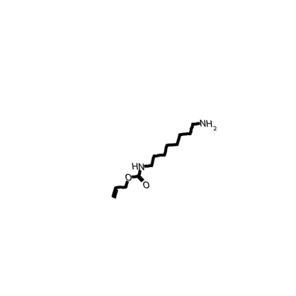 C=CCOC(=O)NCCCCCCCCN